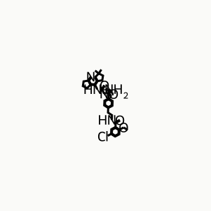 COc1ccc(Cl)cc1C(=O)NCCc1ccc(S(N)(=O)=NC(=O)Nc2c3c(nc4c2CCC4(C)C)CCC3)cc1